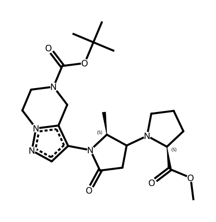 COC(=O)[C@@H]1CCCN1C1CC(=O)N(c2cnn3c2CN(C(=O)OC(C)(C)C)CC3)[C@H]1C